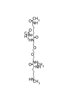 CNCCCCC(NC)C(=O)NCCOCCOCCNC(=O)C(CCCCNC(C)=O)NC(C)=O